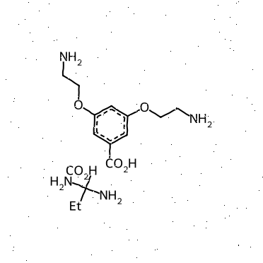 CCC(N)(N)C(=O)O.NCCOc1cc(OCCN)cc(C(=O)O)c1